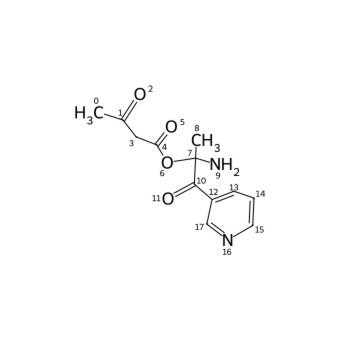 CC(=O)CC(=O)OC(C)(N)C(=O)c1cccnc1